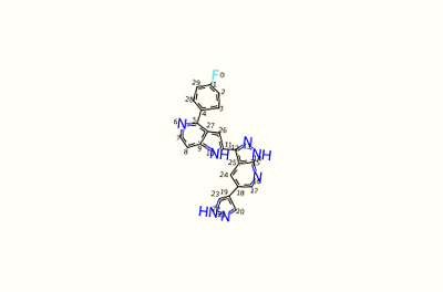 Fc1ccc(-c2nccc3[nH]c(-c4n[nH]c5ncc(-c6cn[nH]c6)cc45)cc23)cc1